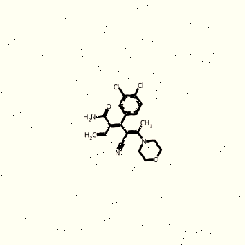 C=C/C(C(N)=O)=C(\C(C#N)=C(/C)N1CCOCC1)c1ccc(Cl)c(Cl)c1